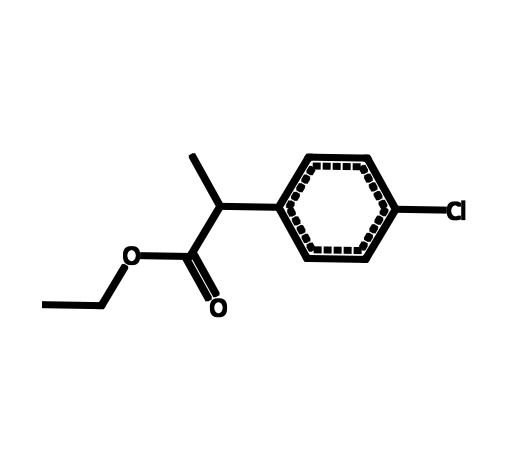 CCOC(=O)C(C)c1ccc(Cl)cc1